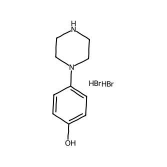 Br.Br.Oc1ccc(N2CCNCC2)cc1